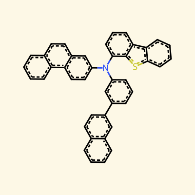 c1cc(-c2ccc3ccccc3c2)cc(N(c2ccc3c(ccc4ccccc43)c2)c2cccc3c2sc2ccccc23)c1